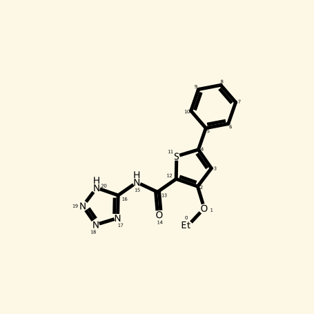 CCOc1cc(-c2ccccc2)sc1C(=O)Nc1nnn[nH]1